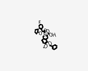 COc1ccc2c(c1OCc1ccccc1)C[C@@H](C(=O)O)N(C(=O)C(OC1CCCC1)c1ccc(F)cc1)C2